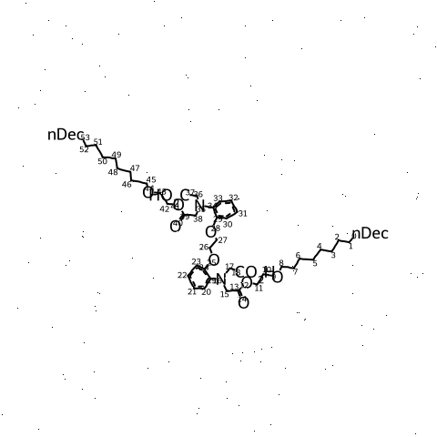 CCCCCCCCCCCCCCCCCCOCCOC(=O)CN(CC(=O)O)c1ccccc1OCCOc1ccccc1N(CC(=O)O)CC(=O)OCCOCCCCCCCCCCCCCCCCCC